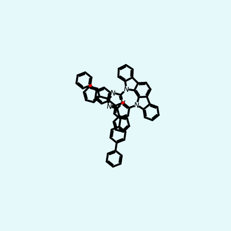 c1ccc(-c2ccc(-c3cc(-c4ccc(-c5ccccc5)cc4)cc(-n4c5ccccc5c5ccc6c7ccccc7n(-c7nc(-c8ccccc8)nc(-c8ccccc8)n7)c6c54)c3)cc2)cc1